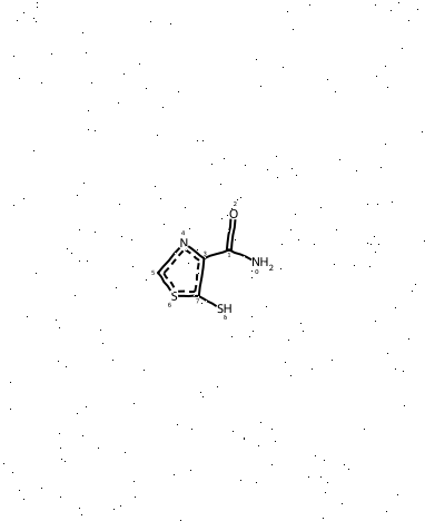 NC(=O)c1ncsc1S